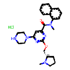 CN(C(=O)c1cc(N2CCNCC2)nc(OC[C@@H]2CCCN2C)n1)c1cccc2ccccc12.Cl